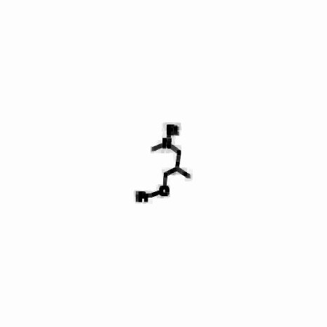 CCN(C)CC(C)COC(C)C